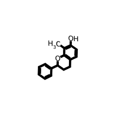 Cc1c(O)ccc2c1OC(c1ccccc1)CC2